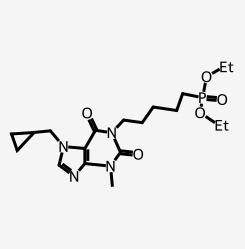 CCOP(=O)(CCCCCn1c(=O)c2c(ncn2CC2CC2)n(C)c1=O)OCC